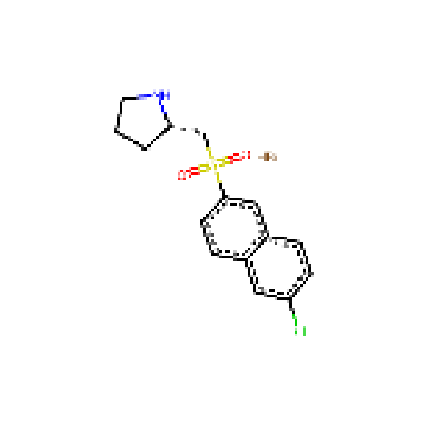 Br.O=S(=O)(C[C@@H]1CCCN1)c1ccc2cc(Cl)ccc2c1